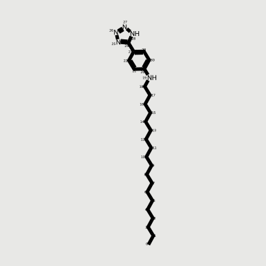 CCCCCCCCCCCCCCCCCCCNc1ccc(-c2nnn[nH]2)cc1